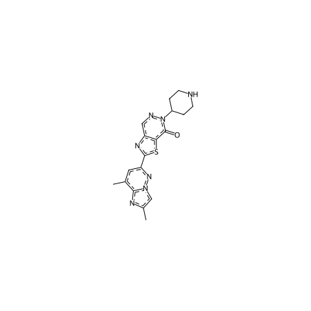 Cc1cn2nc(-c3nc4cnn(C5CCNCC5)c(=O)c4s3)cc(C)c2n1